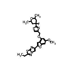 CCc1nn2cc(-c3cc4c(OCc5csc(C6(F)CC(C)OC(C)C6)n5)cc(OC)cc4o3)nc2s1